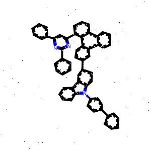 c1ccc(-c2ccc(-n3c4ccccc4c4cc(-c5ccc6c(c5)c5ccccc5c5cccc(-c7cc(-c8ccccc8)nc(-c8ccccc8)n7)c56)ccc43)cc2)cc1